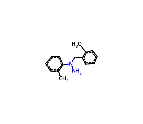 Cc1ccccc1CN(N)c1ccccc1C